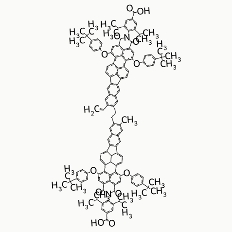 C=Cc1cc2cc3c(cc2cc1CCc1cc2cc4c(cc2cc1C)C1=CC=C2c5c(Oc6ccc(C(C)(C)C)cc6)cc6c7c(cc(Oc8ccc(C(C)(C)C)cc8)c(c57)C5=CC=C4C1C25)C(=O)N(c1c(C(C)C)cc(C(=O)O)cc1C(C)C)C6=O)-c1ccc2c4c(Oc5ccc(C(C)(C)C)cc5)cc5c6c(cc(Oc7ccc(C(C)(C)C)cc7)c(c7ccc-3c1c72)c64)C(=O)N(c1c(C(C)C)cc(C(=O)O)cc1C(C)C)C5=O